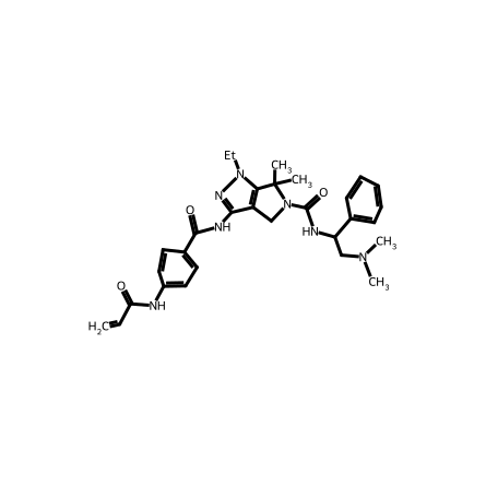 C=CC(=O)Nc1ccc(C(=O)Nc2nn(CC)c3c2CN(C(=O)NC(CN(C)C)c2ccccc2)C3(C)C)cc1